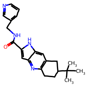 CC(C)(C)C1CCc2nc3cc(C(=O)NCc4cccnc4)[nH]c3cc2C1